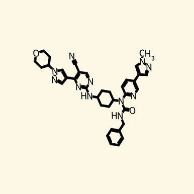 Cn1cc(-c2ccc(N(C(=O)NCc3ccccc3)C3CCC(Nc4ncc(C#N)c(-c5cnn(C6CCOCC6)c5)n4)CC3)nc2)cn1